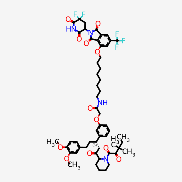 CCC(C)(C)C(=O)C(=O)N1CCCCC1C(=O)C[C@H](CCc1ccc(OC)c(OC)c1)c1cccc(OCC(=O)NCCCCCCCCOc2cc(C(F)(F)F)cc3c2C(=O)N(C2CC(F)(F)C(=O)NC2=O)C3=O)c1